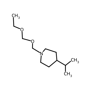 CCOCOCN1CCC(C(C)C)CC1